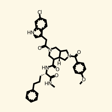 CNC(=O)[C@H](CCCc1ccccc1)NC(=O)C1CN(C(=O)Cc2c[nH]c3cc(Cl)ccc23)CC2CN(C(=O)c3ccc(OC)cc3)C[C@@H]21